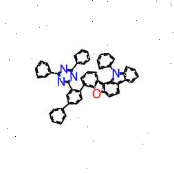 c1ccc(-c2ccc(-c3cccc4c3oc3ccc5c6ccccc6n(-c6ccccc6)c5c34)c(-c3nc(-c4ccccc4)nc(-c4ccccc4)n3)c2)cc1